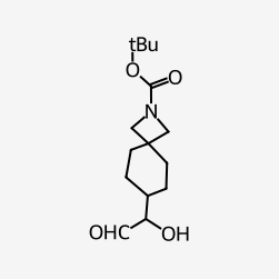 CC(C)(C)OC(=O)N1CC2(CCC(C(O)C=O)CC2)C1